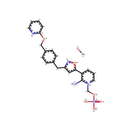 CC(=O)[O-].Nc1c(-c2cc(Cc3ccc(COc4ccccn4)cc3)no2)ccc[n+]1COP(=O)(O)O